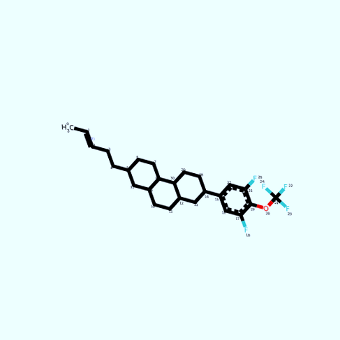 C/C=C/CCC1CCC2C(CCC3CC(c4cc(F)c(OC(F)(F)F)c(F)c4)CCC32)C1